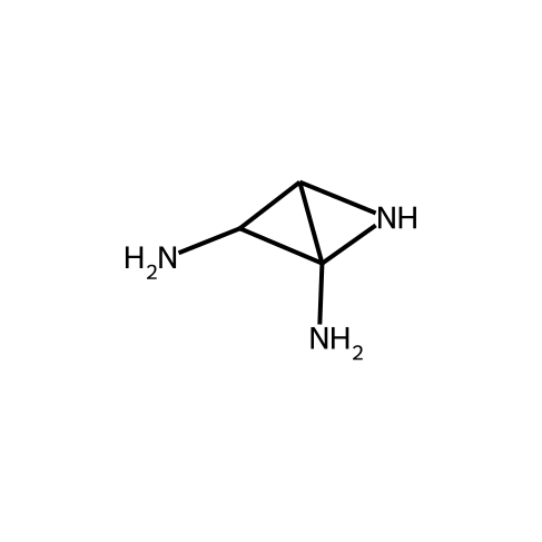 NC1C2NC12N